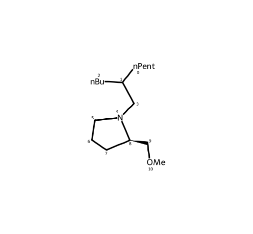 CCCCCC(CCCC)CN1CCC[C@@H]1COC